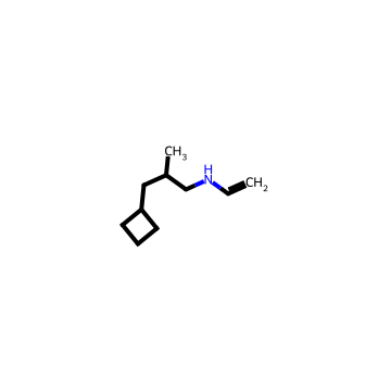 C=CNCC(C)CC1CCC1